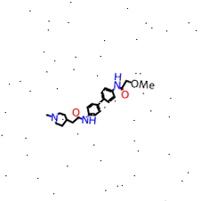 COCC(=O)Nc1ccc(-c2ccc(NC(=O)CC3CCN(C)CC3)cc2)cc1